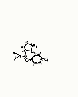 Clc1ccc(OC(C2CC2)[C@H]2CCNC2)cc1